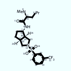 CN[C@@H](CC(C)C)C(=O)N[C@H]1CC[C@@H]2CN(S(=O)(=O)c3cccc(C(F)(F)F)c3)C[C@@H]21